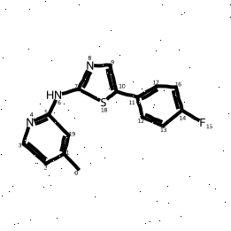 Cc1ccnc(Nc2ncc(-c3ccc(F)cc3)s2)c1